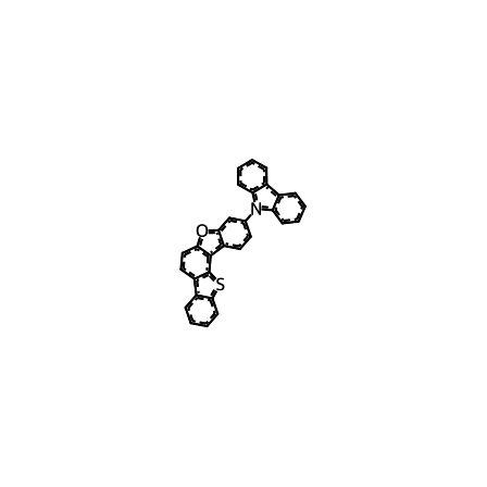 c1ccc2c(c1)sc1c2ccc2oc3cc(-n4c5ccccc5c5ccccc54)ccc3c21